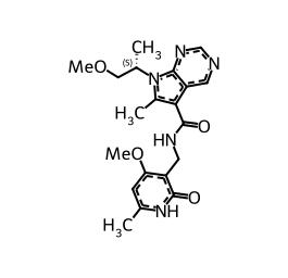 COC[C@H](C)n1c(C)c(C(=O)NCc2c(OC)cc(C)[nH]c2=O)c2cncnc21